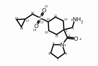 NCC1(C(=O)N2CCCC2)CCC(S(=O)(=O)CC2CC2)CC1